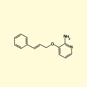 Nc1ncccc1OC/C=C/c1ccccc1